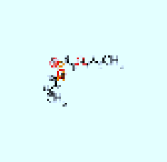 CCCCOCC[PH](=O)OCCCC